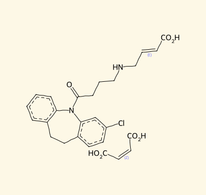 O=C(O)/C=C/CNCCCC(=O)N1c2ccccc2CCc2ccc(Cl)cc21.O=C(O)/C=C\C(=O)O